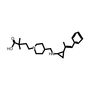 C/C(=C\c1ccccc1)C1CC1NCC1CCN(CCC(C)(C)C(=O)O)CC1